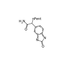 CCCCCC(C(N)=O)c1ccc2c(c1)=NC(=O)N=2